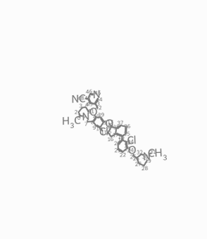 C[C@@H]1CCCCN1Cc1cc(Cl)c(OC2CCc3c(-c4cccc(OCC5CCCN(C)C5)c4Cl)cccc32)cc1OCc1cncc(C#N)c1